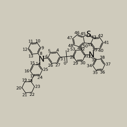 CC(C)(c1ccc(N(c2ccccc2)c2ccc(C3CCCCC3)cc2)cc1)c1ccc(N(c2ccccc2)c2cccc3sc4ccccc4c23)cc1